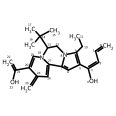 C=C/C=C(/O)c1cc2n(c1CC)CC(C(C)(C)C)N1C=C(C(=C)O)C(=C)C=C21